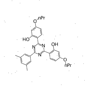 CCCOc1ccc(-c2nc(-c3cc(C)cc(C)c3)nc(-c3ccc(OCCC)cc3O)n2)c(O)c1